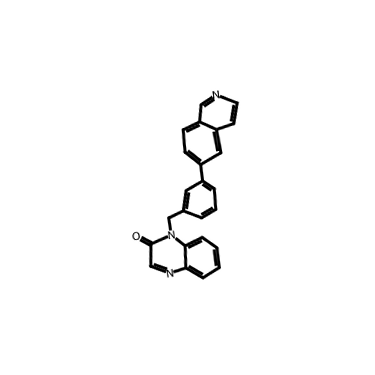 O=c1cnc2ccccc2n1Cc1cccc(-c2ccc3cnccc3c2)c1